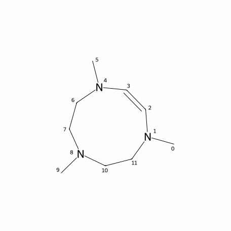 CN1C=CN(C)CCN(C)CC1